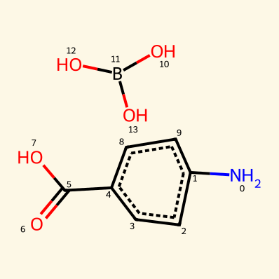 Nc1ccc(C(=O)O)cc1.OB(O)O